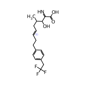 CC(C/C=C/CCc1ccc(CC(F)(F)F)cc1)C(O)C(=N)C(=O)O